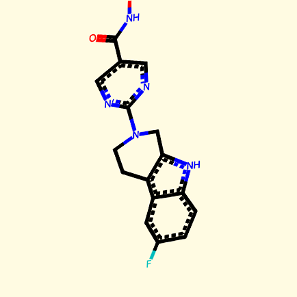 O=C(NO)c1cnc(N2CCc3c([nH]c4ccc(F)cc34)C2)nc1